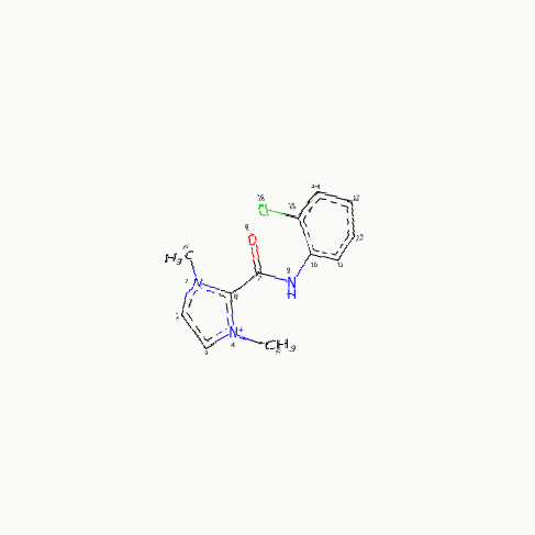 Cn1cc[n+](C)c1C(=O)Nc1ccccc1Cl